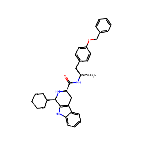 O=C(O)C(Cc1ccc(OCc2ccccc2)cc1)NC(=O)[C@H]1Cc2c([nH]c3ccccc23)[C@@H](C2CCCCC2)N1